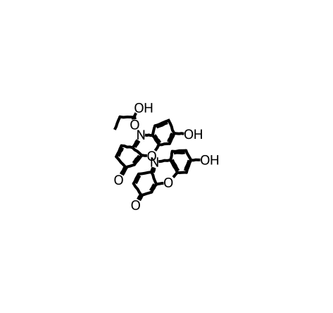 CCC(=O)O.O=c1ccc2nc3ccc(O)cc3oc-2c1.O=c1ccc2nc3ccc(O)cc3oc-2c1